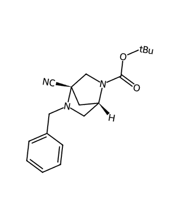 CC(C)(C)OC(=O)N1C[C@]2(C#N)C[C@H]1CN2Cc1ccccc1